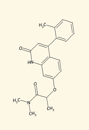 Cc1ccccc1-c1cc(=O)[nH]c2cc(OC(C)C(=O)N(C)C)ccc12